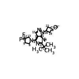 CC(C)(C)c1nc(N2CCC(F)(F)C2)c2cnn(C3C[S+]([O-])C3)c2n1